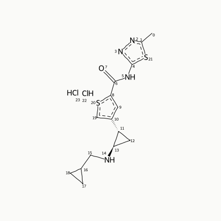 Cc1nnc(NC(=O)c2cc([C@@H]3C[C@H]3NCC3CC3)cs2)s1.Cl.Cl